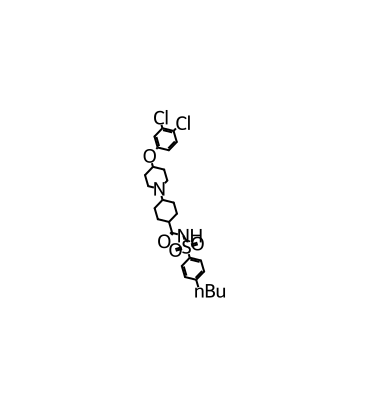 CCCCc1ccc(S(=O)(=O)NC(=O)C2CCC(N3CCC(Oc4ccc(Cl)c(Cl)c4)CC3)CC2)cc1